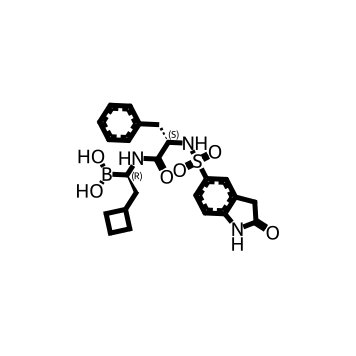 O=C1Cc2cc(S(=O)(=O)N[C@@H](Cc3ccccc3)C(=O)N[C@@H](CC3CCC3)B(O)O)ccc2N1